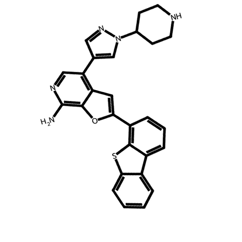 Nc1ncc(-c2cnn(C3CCNCC3)c2)c2cc(-c3cccc4c3sc3ccccc34)oc12